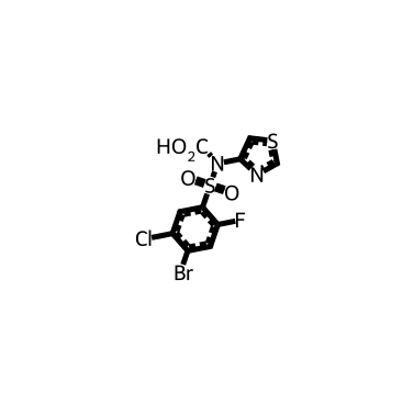 O=C(O)N(c1cscn1)S(=O)(=O)c1cc(Cl)c(Br)cc1F